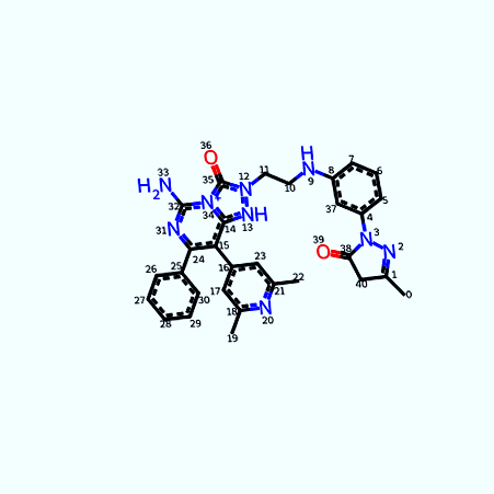 CC1=NN(c2cccc(NCCn3[nH]c4c(-c5cc(C)nc(C)c5)c(-c5ccccc5)nc(N)[n+]4c3=O)c2)C(=O)C1